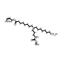 CCCCCC/C=C\COC(=O)CCCCCCCN(CCCCCCCC(=O)O)CCCNC(=O)OC(C)(C)C